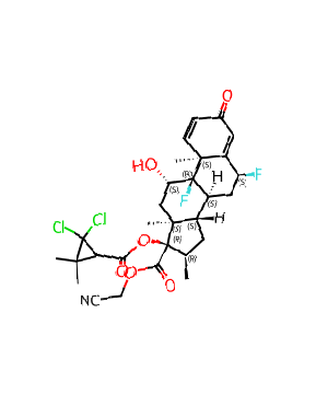 C[C@@H]1C[C@H]2[C@@H]3C[C@H](F)C4=CC(=O)C=C[C@]4(C)[C@@]3(F)[C@@H](O)C[C@]2(C)[C@@]1(OC(=O)C1C(C)(C)C1(Cl)Cl)C(=O)OCC#N